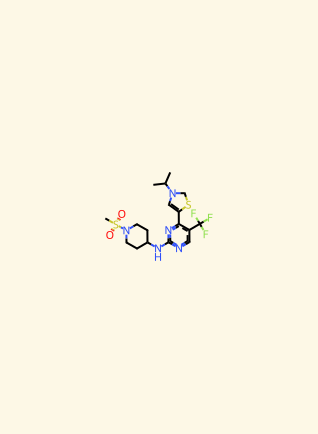 CC(C)N1C=C(c2nc(NC3CCN(S(C)(=O)=O)CC3)ncc2C(F)(F)F)SC1